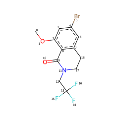 COc1cc(Br)cc2c1C(=O)N(CC(F)(F)F)CC2